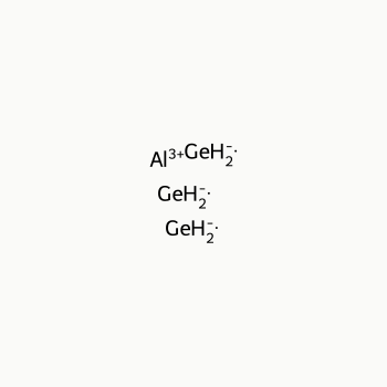 [Al+3].[GeH2-].[GeH2-].[GeH2-]